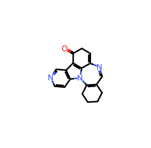 O=C1CC=C2N=CC3=C(CCCC3)n3c2c1c1cnccc13